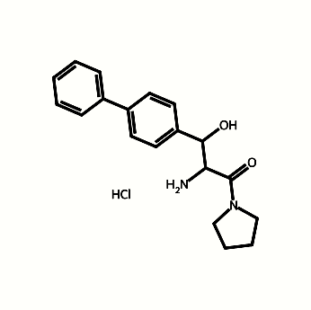 Cl.NC(C(=O)N1CCCC1)C(O)c1ccc(-c2ccccc2)cc1